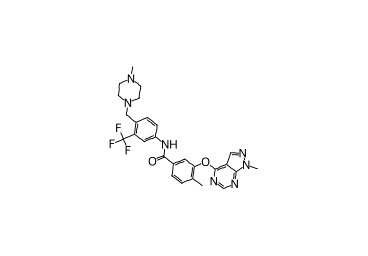 Cc1ccc(C(=O)Nc2ccc(CN3CCN(C)CC3)c(C(F)(F)F)c2)cc1Oc1ncnc2c1cnn2C